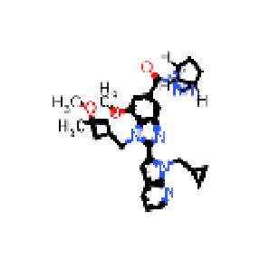 COc1cc(C(=O)N2C[C@H]3CC[C@@H]2[C@@H]3N)cc2nc(-c3cc4cccnc4n3CC3CC3)n(CC3CC(C)(OC)C3)c12